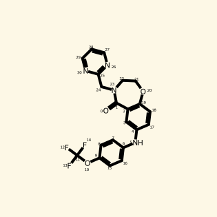 O=C1c2cc(Nc3ccc(OC(F)(F)F)cc3)ccc2OCCN1Cc1ncccn1